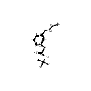 CC(C)(C)OC(=O)Cc1cccc(CCCI)c1